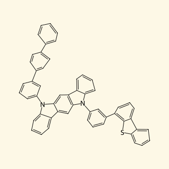 c1ccc(-c2ccc(-c3cccc(-n4c5ccccc5c5cc6c(cc54)c4ccccc4n6-c4cccc(-c5cccc6c5sc5ccccc56)c4)c3)cc2)cc1